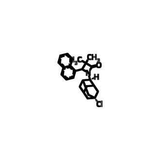 CC1(C)C(=O)N([C@H]2C3CC4CC2C[C@](Cl)(C4)C3)C1c1cccc2ccccc12